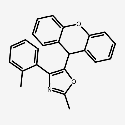 Cc1nc(-c2ccccc2C)c(C2c3ccccc3Oc3ccccc32)o1